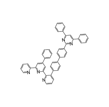 c1ccc(-c2cc(-c3ccccn3)nc(-c3ncccc3-c3ccc(-c4ccc(-c5nc(-c6ccccc6)cc(-c6ccccc6)n5)cc4)cc3)c2)cc1